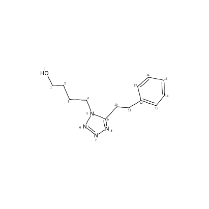 OCCCCn1nnnc1CCc1ccccc1